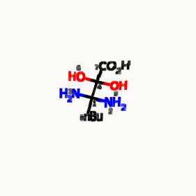 CCCCC(N)(N)C(O)(O)C(=O)O